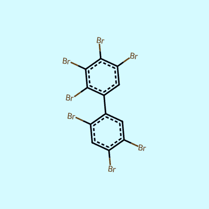 Brc1cc(Br)c(-c2cc(Br)c(Br)c(Br)c2Br)cc1Br